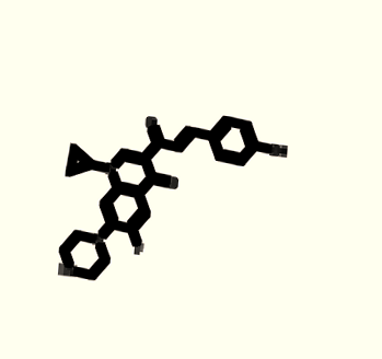 O=C(C=Cc1ccc(O)cc1)c1cn(C2CC2)c2cc(N3CCNCC3)c(F)cc2c1=O